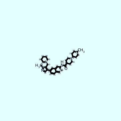 CN1CCC(N2CCC(C(=O)Nc3cc4cc(-c5cnn(C)c5CN5CCCCC5)ccc4cn3)CC2)CC1